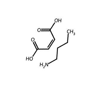 CCCCN.O=C(O)/C=C\C(=O)O